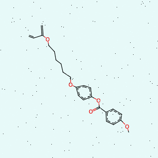 C=CC(=C)OCCCCCCOc1ccc(OC(=O)c2ccc(OC)cc2)cc1